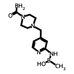 BC(=O)N1CCN(Cc2ccnc(NB(C)O)c2)CC1